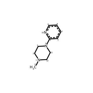 CN1CCN(c2c[c]ccn2)CC1